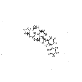 OC[C@H]1CCCN1Cc1cnc2c(N3CCc4c(-c5ccccc5)cccc43)ncnc2c1